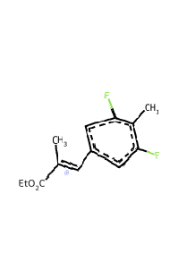 CCOC(=O)/C(C)=C/c1cc(F)c(C)c(F)c1